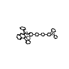 c1ccc(N(c2ccc(-c3ccc(-c4ccc(-c5ccc6c(c5)c5ccccc5n6-c5ccccc5)cc4)cc3)cc2)c2cc3ccccc3c3c2oc2ccccc23)cc1